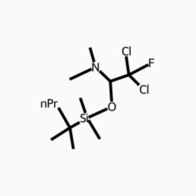 CCCC(C)(C)[Si](C)(C)OC(N(C)C)C(F)(Cl)Cl